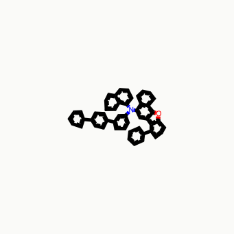 c1ccc(-c2ccc(-c3cccc(N(c4cccc5ccccc45)c4cc5c(oc6cccc(-c7ccccc7)c65)c5ccccc45)c3)cc2)cc1